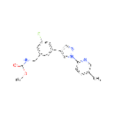 Cc1ccc(-n2cc(-c3cc(F)cc(CNC(=O)OC(C)(C)C)c3)cn2)nc1